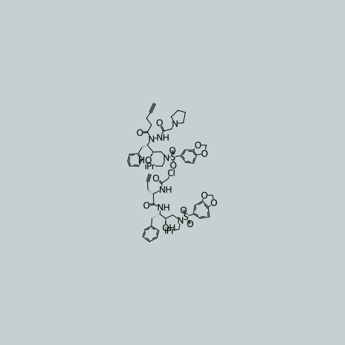 C#CCCC(=O)N(NC(=O)CN1CCCC1)[C@@H](Cc1ccccc1)[C@H](O)CN(CC(C)C)S(=O)(=O)c1ccc2c(c1)OCO2.C#CC[C@H](NC(=O)CCl)C(=O)N[C@@H](Cc1ccccc1)[C@H](O)CN(CC(C)C)S(=O)(=O)c1ccc2c(c1)OCO2